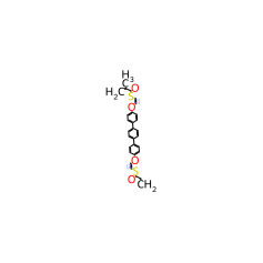 C=CC(=O)S/C=C\Oc1ccc(-c2ccc(-c3ccc(O/C=C\SC(=O)C(=C)C)cc3)cc2)cc1